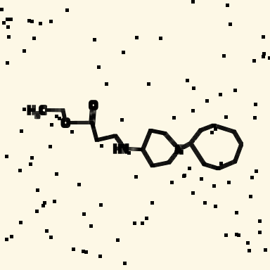 CCOC(=O)CCNC1CCN(C2CCCCCCC2)CC1